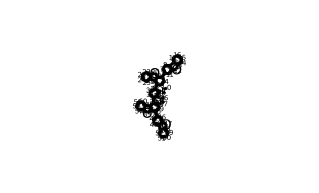 C[Si]1(C)c2cc(-c3ccc4c(c3)oc3ccccc34)c3oc4ccccc4c3c2-c2ccc3c(c21)[Si](C)(C)c1cc(-c2ccc4c(c2)oc2ccccc24)c2oc4ccccc4c2c1-3